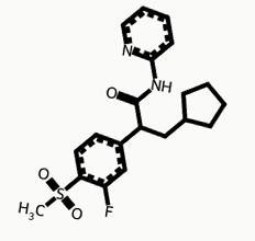 CS(=O)(=O)c1ccc(C(CC2CCCC2)C(=O)Nc2ccccn2)cc1F